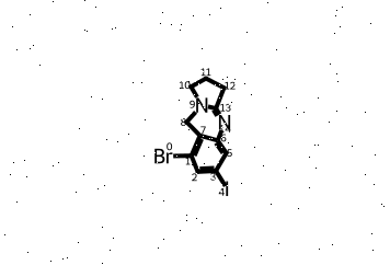 Brc1cc(I)cc2c1CN1CCCC1=N2